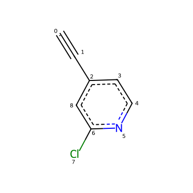 [C]#Cc1ccnc(Cl)c1